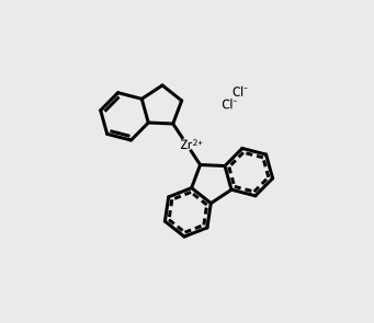 C1=CC2CC[CH]([Zr+2][CH]3c4ccccc4-c4ccccc43)C2C=C1.[Cl-].[Cl-]